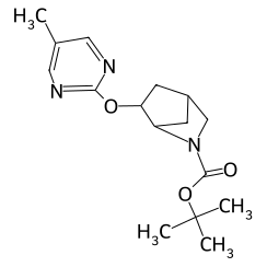 Cc1cnc(OC2CC3CC2N(C(=O)OC(C)(C)C)C3)nc1